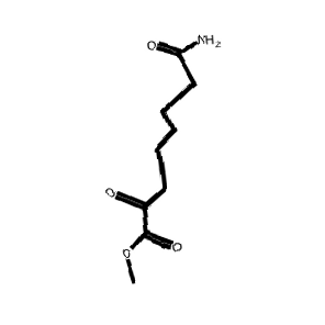 COC(=O)C(=O)CCCCCC(N)=O